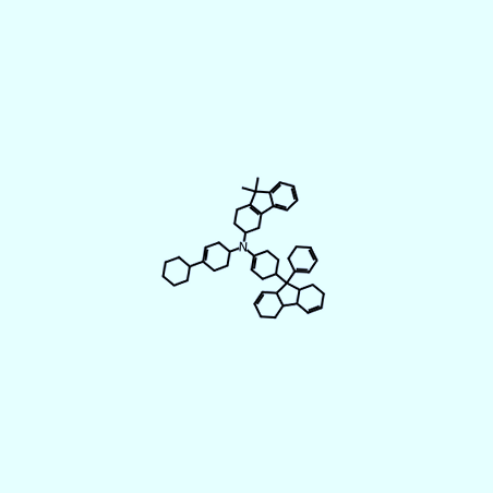 CC1(C)C2=C(CC(N(C3=CCC(C4(C5=CC=CCC5)C5C=CCCC5C5C=CCCC54)CC3)C3CC=C(C4CCCCC4)CC3)CC2)c2ccccc21